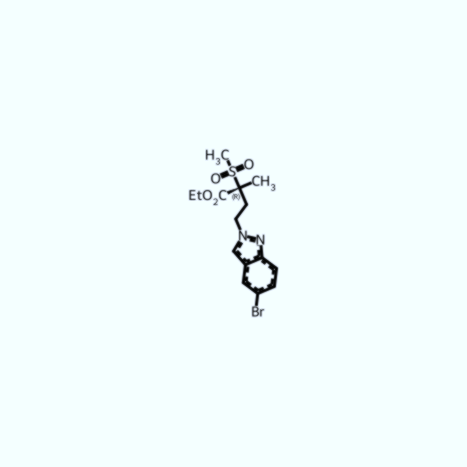 CCOC(=O)[C@@](C)(CCn1cc2cc(Br)ccc2n1)S(C)(=O)=O